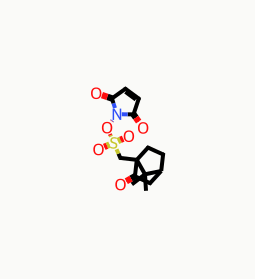 CC1(C)C2CCC1(CS(=O)(=O)ON1C(=O)C=CC1=O)C(=O)C2